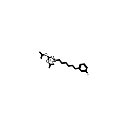 CC(C)OC(O[SiH2]CCCCCCc1cccc(F)c1)OC(C)C